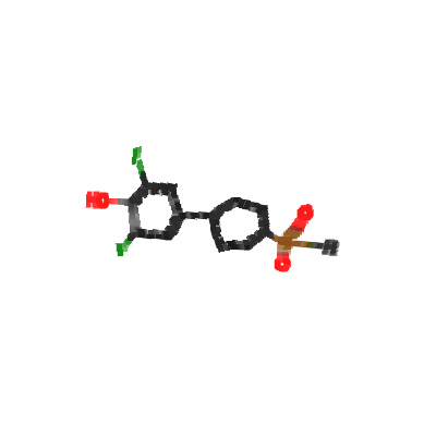 CCS(=O)(=O)c1ccc(-c2cc(F)c(O)c(F)c2)cc1